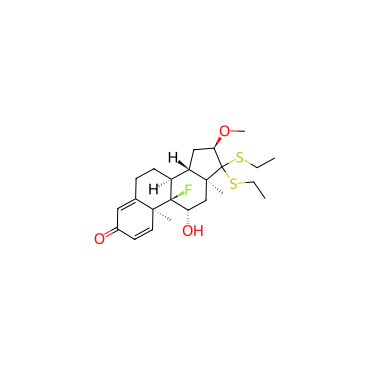 CCSC1(SCC)[C@H](OC)C[C@H]2[C@@H]3CCC4=CC(=O)C=C[C@]4(C)[C@@]3(F)[C@@H](O)C[C@@]21C